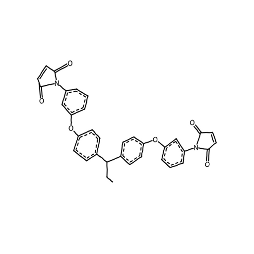 CCC(c1ccc(Oc2cccc(N3C(=O)C=CC3=O)c2)cc1)c1ccc(Oc2cccc(N3C(=O)C=CC3=O)c2)cc1